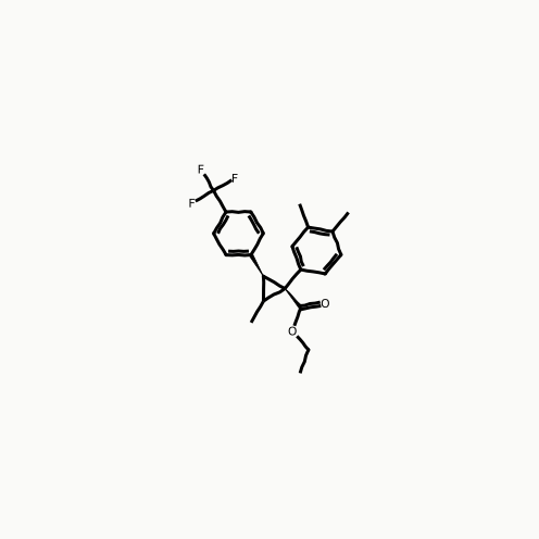 CCOC(=O)[C@@]1(c2ccc(C)c(C)c2)C(C)[C@H]1c1ccc(C(F)(F)F)cc1